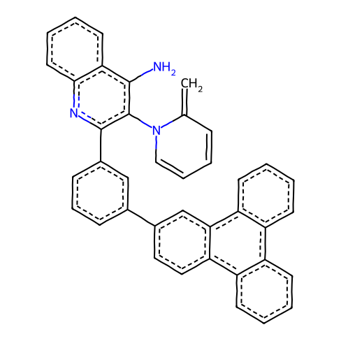 C=C1C=CC=CN1c1c(-c2cccc(-c3ccc4c5ccccc5c5ccccc5c4c3)c2)nc2ccccc2c1N